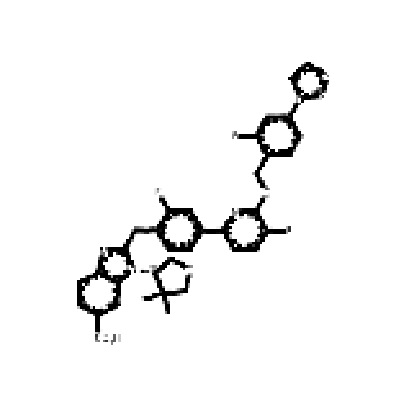 CC1(C)COC[C@H]1n1c(Cc2ccc(-c3ccc(F)c(OCc4ccc(-n5ccnn5)cc4F)n3)cc2F)nc2ccc(C(=O)O)cc21